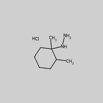 CC1CCCCC1(C)NN.Cl